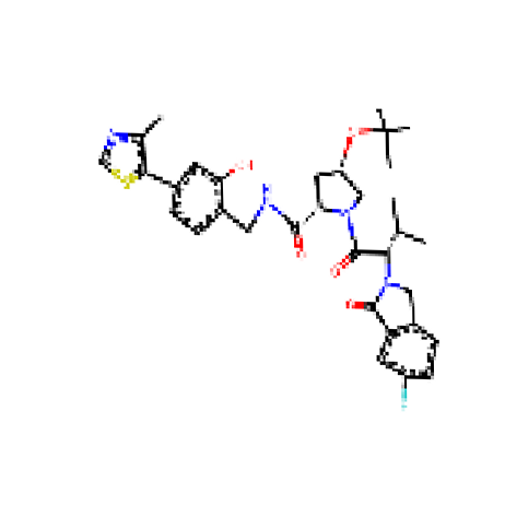 Cc1ncsc1-c1ccc(CNC(=O)[C@@H]2C[C@@H](OC(C)(C)C)CN2C(=O)[C@H](C(C)C)N2Cc3ccc(F)cc3C2=O)c(O)c1